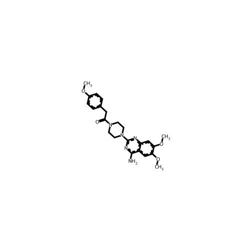 COc1ccc(CC(=O)N2CCN(c3nc(N)c4cc(OC)c(OC)cc4n3)CC2)cc1